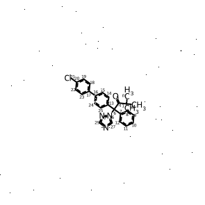 CC(C)(C)C(=O)C(c1ccccc1)(c1ccc(-c2ccc(Cl)cc2)cc1)n1cncn1